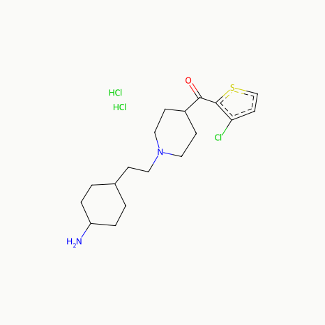 Cl.Cl.NC1CCC(CCN2CCC(C(=O)c3sccc3Cl)CC2)CC1